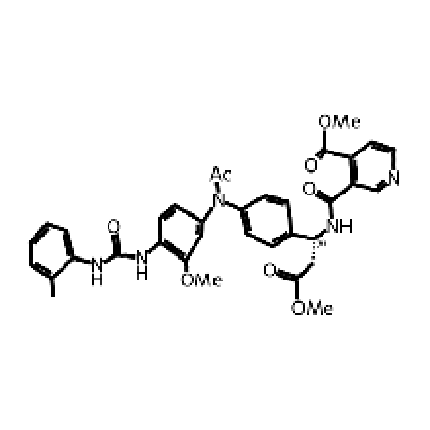 COC(=O)C[C@@H](NC(=O)c1cnccc1C(=O)OC)c1ccc(N(C(C)=O)c2ccc(NC(=O)Nc3ccccc3C)c(OC)c2)cc1